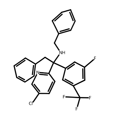 Fc1cc(C(F)(F)F)cc(C(Cc2ccccc2)(NCc2ccccc2)c2ccc(Cl)cn2)c1